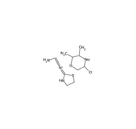 CC1NC(Cl)COC1C.NC=[N+]=C1NCCS1